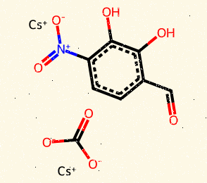 O=C([O-])[O-].O=Cc1ccc([N+](=O)[O-])c(O)c1O.[Cs+].[Cs+]